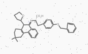 CC1(C)CCC2=C(C1)c1ccccc1/C(=N\[C@@H](Cc1ccc(OCc3ccccc3)cc1)C(=O)O)C2C1CCCO1